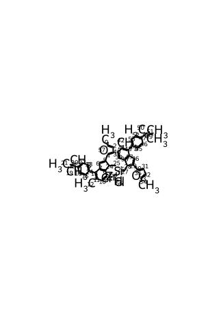 Cc1ccc(C2=Cc3c(ccc(C)c3-c3ccc(C(C)(C)C)cc3)C2C[SiH](CC2C(c3ccc(C)o3)=Cc3c2ccc(C)c3-c2ccc(C(C)(C)C)cc2)[Zr]([Cl])[Cl])o1